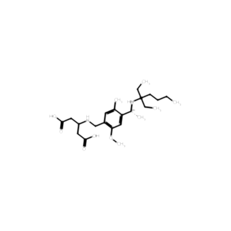 CCCCC(CC)(CC)N[C@H](C)c1cc(OC)c(CNC(CC(=O)O)CC(=O)O)cc1C